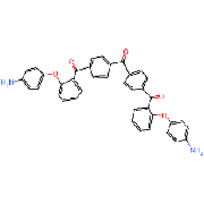 Nc1ccc(Oc2ccccc2C(=O)c2ccc(C(=O)c3ccc(C(=O)c4ccccc4Oc4ccc(N)cc4)cc3)cc2)cc1